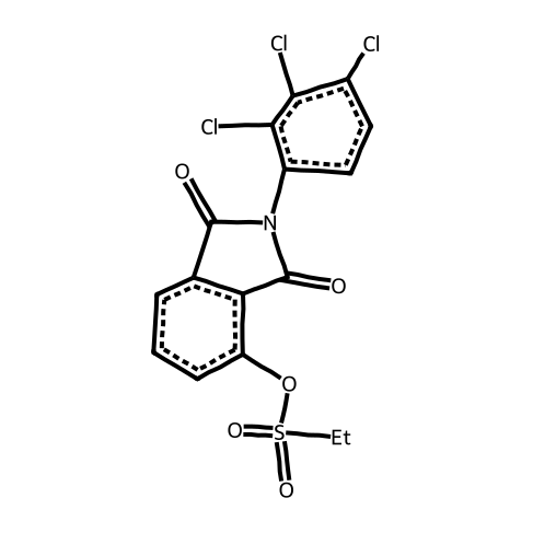 CCS(=O)(=O)Oc1cccc2c1C(=O)N(c1ccc(Cl)c(Cl)c1Cl)C2=O